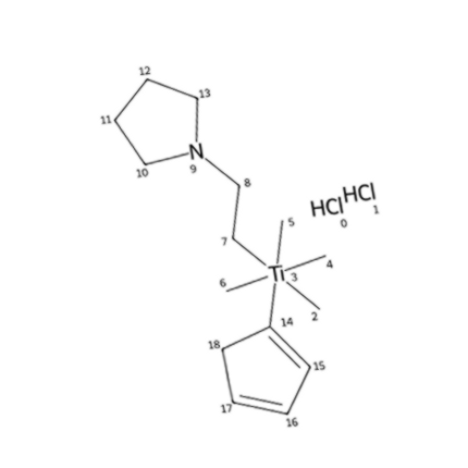 Cl.Cl.[CH3][Ti]([CH3])([CH3])([CH3])([CH2]CN1CCCC1)[C]1=CC=CC1